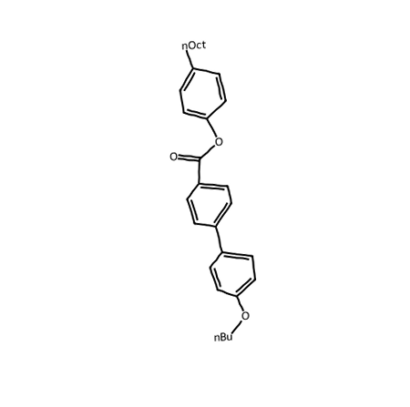 CCCCCCCCc1ccc(OC(=O)c2ccc(-c3ccc(OCCCC)cc3)cc2)cc1